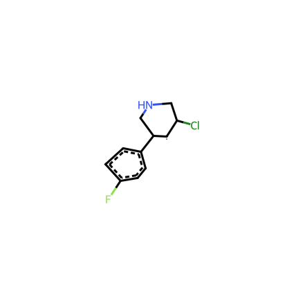 Fc1ccc(C2[CH]C(Cl)CNC2)cc1